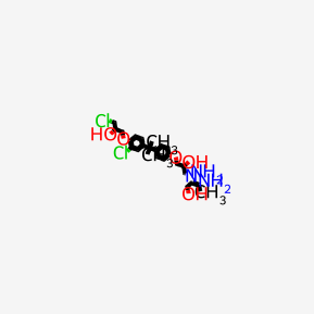 C/C(N)=C(\CO)N(N)CC(O)COc1ccc(C(C)(C)c2ccc(OCC(O)CCl)c(Cl)c2)cc1